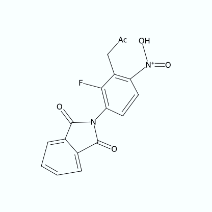 CC(=O)Cc1c([N+](=O)O)ccc(N2C(=O)c3ccccc3C2=O)c1F